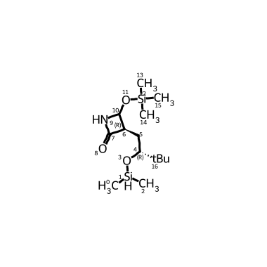 C[SiH](C)O[C@H](C[C@H]1C(=O)NC1O[Si](C)(C)C)C(C)(C)C